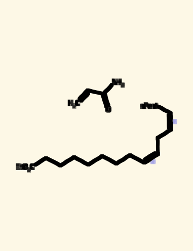 C=CC(N)=O.CCCCC/C=C\C/C=C\CCCCCCCC(=O)OCC